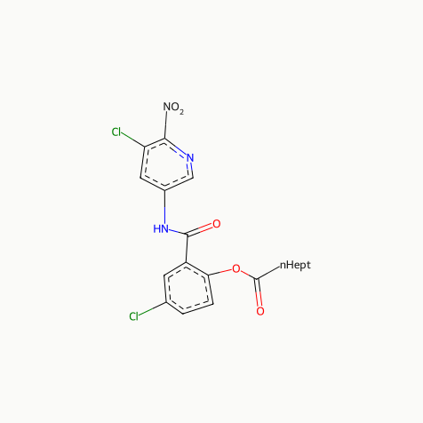 CCCCCCCC(=O)Oc1ccc(Cl)cc1C(=O)Nc1cnc([N+](=O)[O-])c(Cl)c1